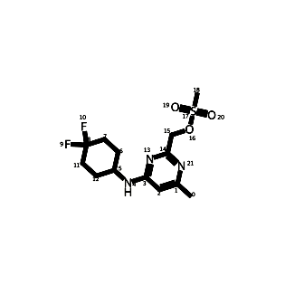 Cc1cc(NC2CCC(F)(F)CC2)nc(COS(C)(=O)=O)n1